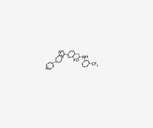 O=C(Cc1ccc(-c2cnc3cc(-c4ccncc4)ccn23)cc1F)Nc1cccc(C(F)(F)F)c1